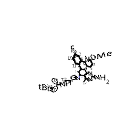 COc1cccc(-c2cc(F)ccc2C2C/C(=N\OCCNC(=O)OC(C)(C)C)c3c(C)nc(N)nc3C2)n1